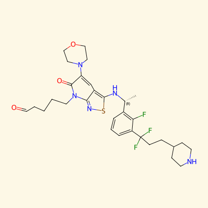 C[C@@H](Nc1snc2c1cc(N1CCOCC1)c(=O)n2CCCCC=O)c1cccc(C(F)(F)CCC2CCNCC2)c1F